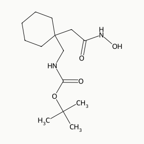 CC(C)(C)OC(=O)NCC1(CC(=O)NO)CCCCC1